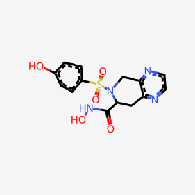 O=C(NO)C1Cc2nccnc2CN1S(=O)(=O)c1ccc(O)cc1